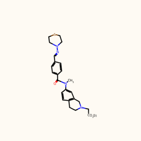 CCOC(=O)CN1CCc2ccc(N(C)C(=O)c3ccc(C=NN4CCSCC4)cc3)cc2C1